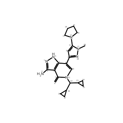 C=C1c2c(N)n[nH]c2C(c2cc(N3CCCC3)n(C)n2)=CN1C(C1CC1)C1CC1